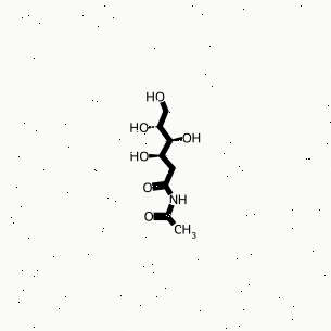 CC(=O)NC(=O)C[C@@H](O)[C@H](O)[C@H](O)CO